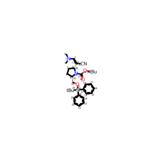 CN(C)/C=C(/C#N)[C@H]1CC[C@@H](CO[Si](c2ccccc2)(c2ccccc2)C(C)(C)C)N1C(=O)OC(C)(C)C